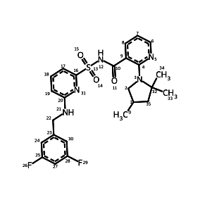 CC1CN(c2ncccc2C(=O)NS(=O)(=O)c2cccc(NCc3cc(F)cc(F)c3)n2)C(C)(C)C1